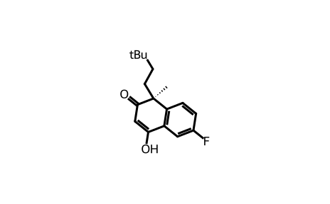 CC(C)(C)CC[C@]1(C)C(=O)C=C(O)c2cc(F)ccc21